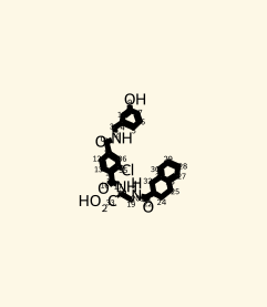 O=C(NCc1cccc(O)c1)c1ccc(C(=O)N[C@@H](CNC(=O)C2CCc3ccccc3C2)C(=O)O)c(Cl)c1